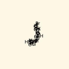 O=C(NC1CCN(C(=O)C2(c3cccc(Br)c3)CC2)CC1)O[C@@H]1CCN(c2cn[nH]c(=O)c2Cl)C1